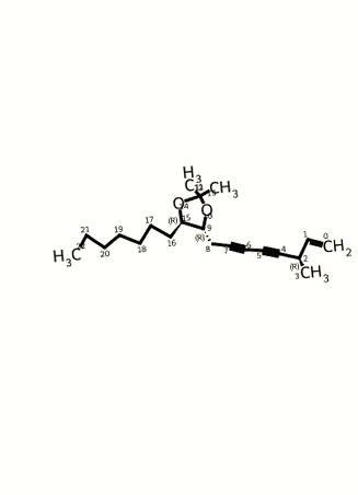 C=C[C@@H](C)C#CC#CC[C@H]1OC(C)(C)O[C@@H]1CCCCCCC